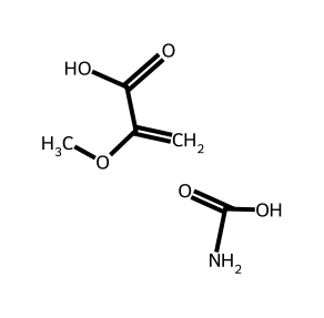 C=C(OC)C(=O)O.NC(=O)O